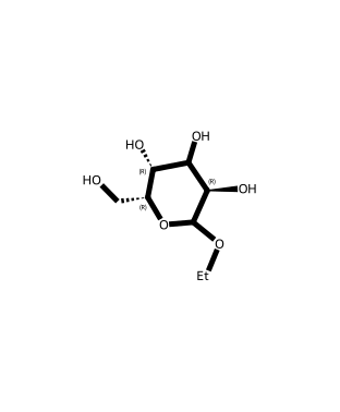 CCOC1O[C@H](CO)[C@H](O)C(O)[C@H]1O